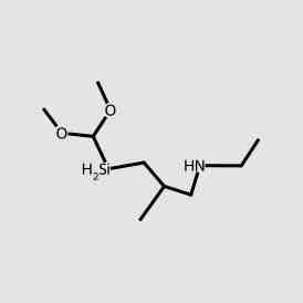 CCNCC(C)C[SiH2]C(OC)OC